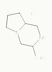 O=CC1CN2CCC[C@H]2CN1